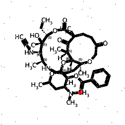 C#CN[C@@H]1[C@H](C)NC[C@@H](C)C[C@]2(C)OCC(=O)CCC(C)(C(=O)O[C@@H](CC)[C@@]1(C)O)C(=O)[C@@H](C)[C@H]2OC1OC(C)CC(N(C)C)C1OC(=O)c1ccccc1